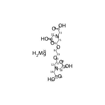 O=C(O)CN(CCOCCOCCN(CC(=O)O)CC(=O)O)CC(=O)O.[MgH2]